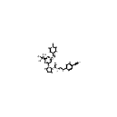 N#Cc1ccc(CCNC(=O)[C@@H]2CCCN2c2cc(NC3CCNCC3)nc(C(F)(F)F)n2)cc1